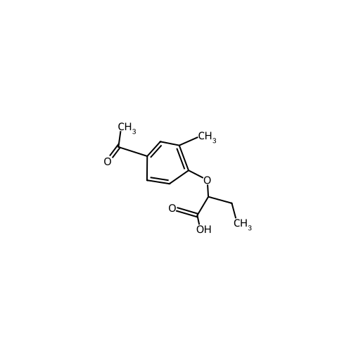 CCC(Oc1ccc(C(C)=O)cc1C)C(=O)O